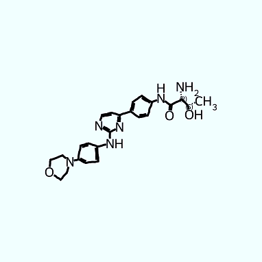 C[C@H](O)[C@@H](N)C(=O)Nc1ccc(-c2ccnc(Nc3ccc(N4CCOCC4)cc3)n2)cc1